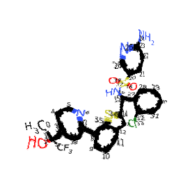 C[C@@](O)(c1ccnc(-c2cccc3cc(C(NS(=O)(=O)c4ccc(N)nc4)c4ccccc4Cl)sc23)c1)C(F)(F)F